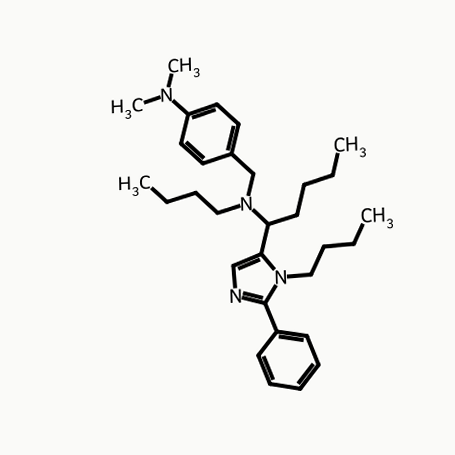 CCCCC(c1cnc(-c2ccccc2)n1CCCC)N(CCCC)Cc1ccc(N(C)C)cc1